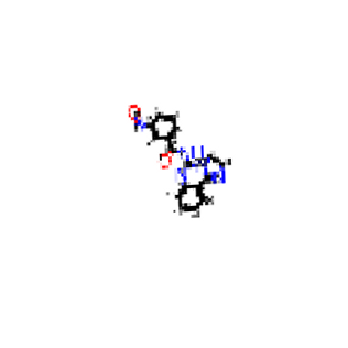 O=Nc1cccc(C(=O)NC2=Nc3ccccc3C3=NCCN23)c1